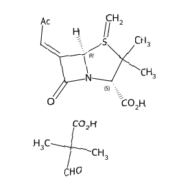 C=S1[C@@H]2C(=CC(C)=O)C(=O)N2[C@@H](C(=O)O)C1(C)C.CC(C)(C=O)C(=O)O